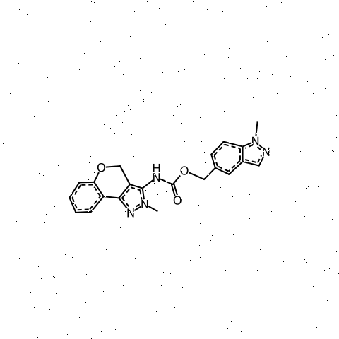 Cn1nc2c(c1NC(=O)OCc1ccc3c(cnn3C)c1)COc1ccccc1-2